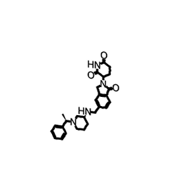 C[C@H](c1ccccc1)N1CCC[C@@H](NCc2ccc3c(c2)CN(C2CCC(=O)NC2=O)C3=O)C1